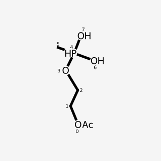 CC(=O)OCCO[PH](C)(O)O